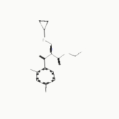 CCOC(=O)/C(=C/NC1CC1)C(=O)c1ccc(F)cc1F